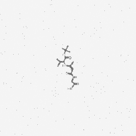 C/C(=C/C(=O)NCC(=O)O)N[C@H](C(=O)OC(C)(C)C)C(C)C